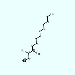 FCCCCCCCCCC(F)C(F)[CH2][Na]